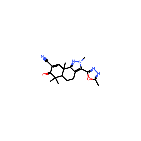 Cc1nnc(-c2c3c(nn2C)C2(C)C=C(C#N)C(=O)C(C)(C)C2CC3)o1